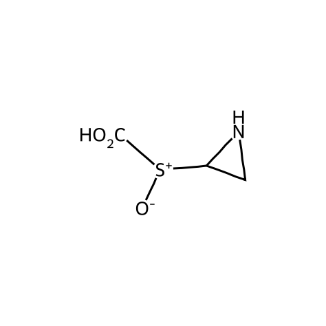 O=C(O)[S+]([O-])C1CN1